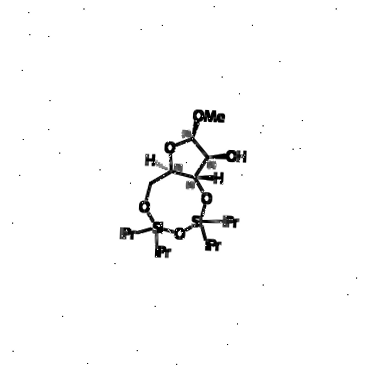 CO[C@@H]1O[C@@H]2CO[Si](C(C)C)(C(C)C)O[Si](C(C)C)(C(C)C)O[C@H]2[C@@H]1O